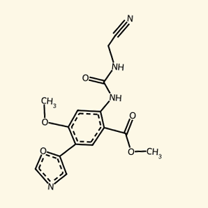 COC(=O)c1cc(-c2cnco2)c(OC)cc1NC(=O)NCC#N